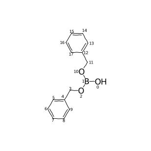 OB(OCc1ccccc1)OCc1ccccc1